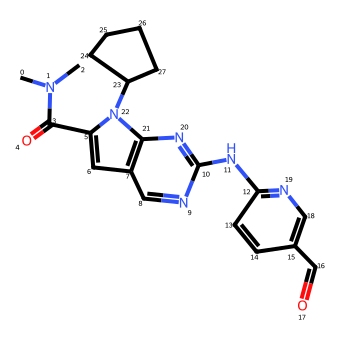 CN(C)C(=O)c1cc2cnc(Nc3ccc(C=O)cn3)nc2n1C1CCCC1